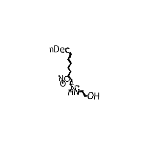 CCCCCCCCCCCCCCCCCC[N+](C)(C)NCCO.O=[N+]([O-])[O-]